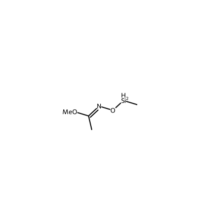 COC(C)=NO[SiH2]C